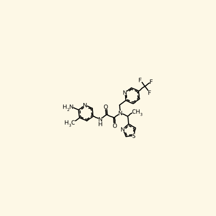 Cc1cc(NC(=O)C(=O)N(Cc2ccc(C(F)(F)F)cn2)C(C)c2cscn2)cnc1N